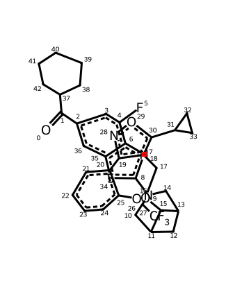 O=C(c1cc(F)c2nc(N3CC4CC(C3)C4OCc3c(-c4ccccc4OC(F)(F)F)noc3C3CC3)sc2c1)C1CCCCC1